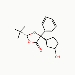 CC(C)(C)[C@H]1OC(=O)[C@](c2ccccc2)(C2CCC(O)C2)O1